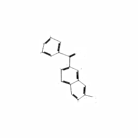 C=C(c1ccccc1)c1ccc2ccc(Br)cc2c1